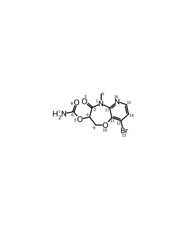 CN1C(=O)C(OC(N)=O)COc2c(Br)ccnc21